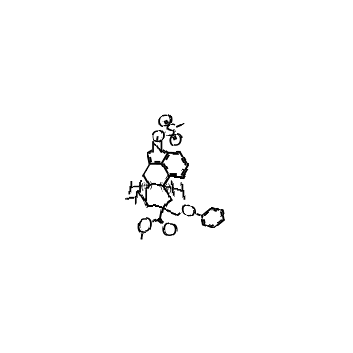 COC(=O)C1(COc2ccccc2)C[C@H]2c3cccc4c3c(cn4OS(C)(=O)=O)C[C@@H]2N(C)C1